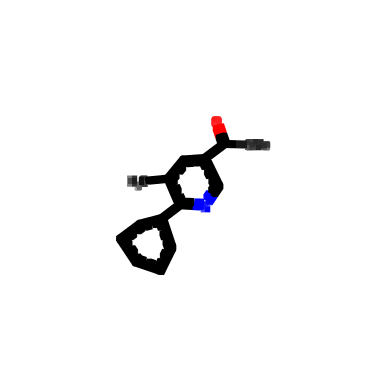 COC(=O)c1cnc(-c2ccccc2)c(C)c1